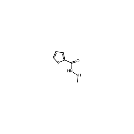 CNNC(=O)c1cccs1